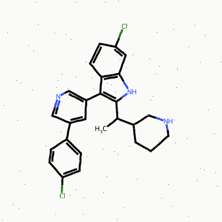 CC(c1[nH]c2cc(Cl)ccc2c1-c1cncc(-c2ccc(Cl)cc2)c1)C1CCCNC1